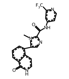 Cn1c(-c2cccc3c(=O)[nH]ccc23)cnc1C(=O)Nc1ccnc(C(F)(F)F)c1